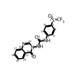 O=C(Nc1ccc([S+]([O-])C(F)(F)F)cc1)Nn1cnc2ccccc2c1=O